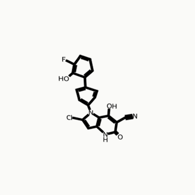 N#Cc1c(O)c2c(cc(Cl)n2-c2ccc(-c3cccc(F)c3O)cc2)[nH]c1=O